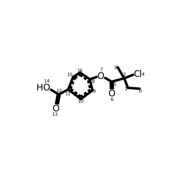 CCC(C)(Cl)C(=O)Oc1ccc(C(=O)O)cc1